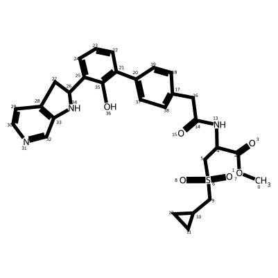 COC(=O)C(CS(=O)(=O)CC1CC1)NC(=O)Cc1ccc(-c2cccc(C3Cc4ccncc4N3)c2O)cc1